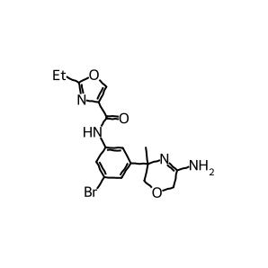 CCc1nc(C(=O)Nc2cc(Br)cc(C3(C)COCC(N)=N3)c2)co1